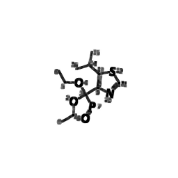 CCOC(OCC)(P=O)c1n[c]sc1C(C)C